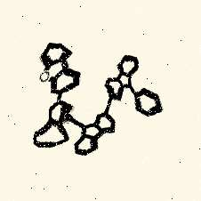 c1ccc(C2c3ccccc3-c3ccc(-c4ccc5c(c4)C(c4cc(-c6ccc7c(c6)oc6ccccc67)cc6ccccc46)c4ccccc4-5)cc32)cc1